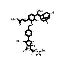 COC(=O)/C=C/c1ccc(C(OC)=C2C3C[C@H]4CC2C[C@@H](C3)C4)c(Cl)c1OCc1ccc(C2=C(C(=O)O)N3C(=O)[C@H]([C@@H](C)O[Si](C)(C)C(C)(C)C)[C@H]3[C@H]2C)cc1